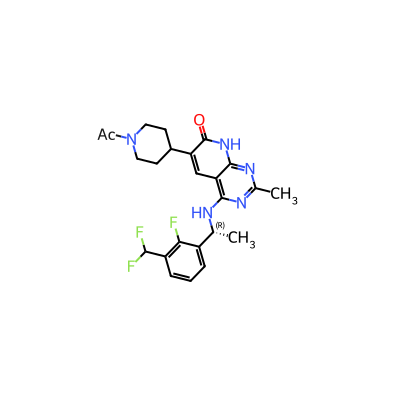 CC(=O)N1CCC(c2cc3c(N[C@H](C)c4cccc(C(F)F)c4F)nc(C)nc3[nH]c2=O)CC1